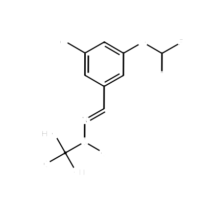 CC(C)(C)[S+]([O-])/N=C/c1cc(Cl)cc(OC(F)F)c1